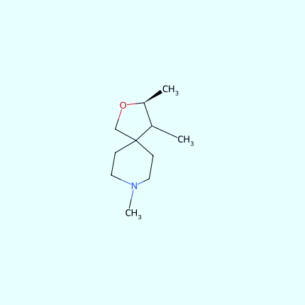 CC1[C@H](C)OCC12CCN(C)CC2